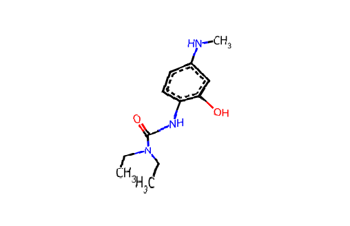 CCN(CC)C(=O)Nc1ccc(NC)cc1O